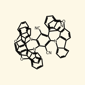 N#Cc1c(-c2cccnc2)c(-n2c3ccccc3c3ccc4oc5ccccc5c4c32)c(C#N)c(-n2c3ccccc3c3ccc4oc5ccccc5c4c32)c1-n1c2ccccc2c2ccc3oc4ccccc4c3c21